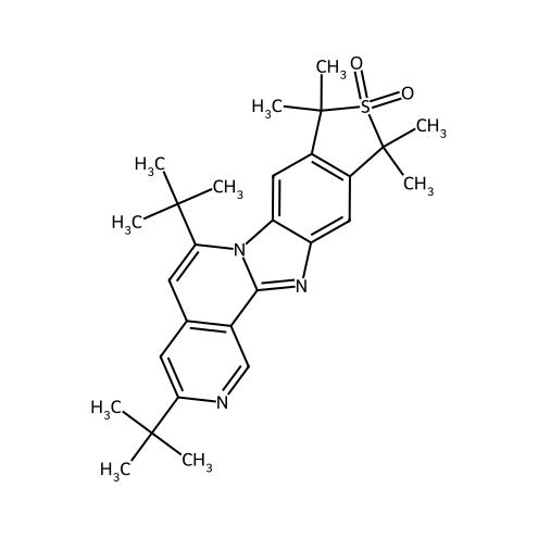 CC(C)(C)c1cc2cc(C(C)(C)C)n3c4cc5c(cc4nc3c2cn1)C(C)(C)S(=O)(=O)C5(C)C